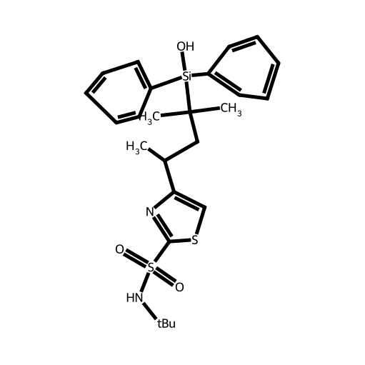 CC(CC(C)(C)[Si](O)(c1ccccc1)c1ccccc1)c1csc(S(=O)(=O)NC(C)(C)C)n1